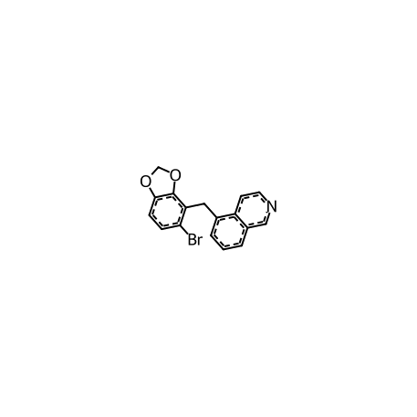 Brc1ccc2c(c1Cc1cccc3cnccc13)OCO2